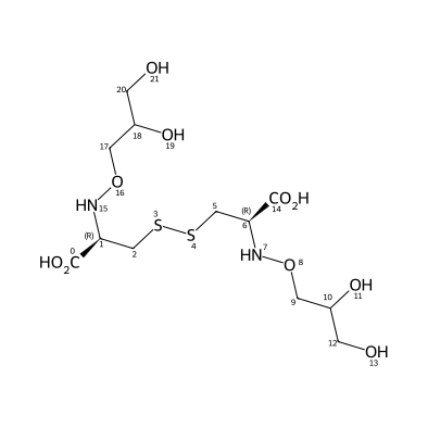 O=C(O)[C@H](CSSC[C@H](NOCC(O)CO)C(=O)O)NOCC(O)CO